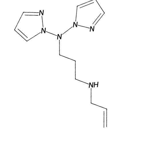 C=CCNCCCN(n1cccn1)n1cccn1